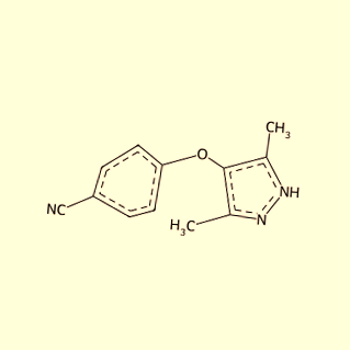 Cc1n[nH]c(C)c1Oc1ccc(C#N)cc1